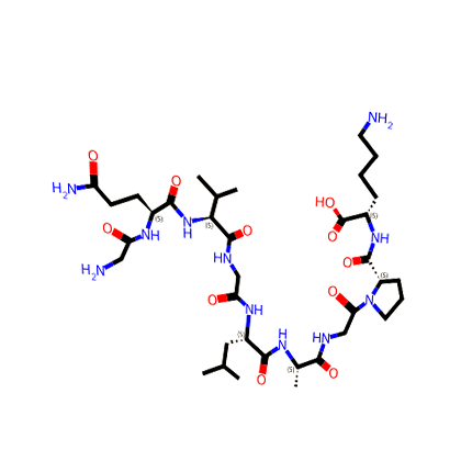 CC(C)C[C@H](NC(=O)CNC(=O)[C@@H](NC(=O)[C@H](CCC(N)=O)NC(=O)CN)C(C)C)C(=O)N[C@@H](C)C(=O)NCC(=O)N1CCC[C@H]1C(=O)N[C@@H](CCCCN)C(=O)O